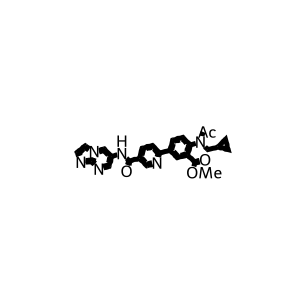 COC(=O)c1cc(-c2ccc(C(=O)Nc3cnc4nccn4c3)cn2)ccc1N(CC1CC1)C(C)=O